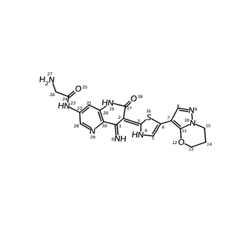 N=C1/C(=C2\NC=C(c3cnn4c3OCCC4)S2)C(=O)Nc2cc(NC(=O)CN)cnc21